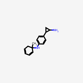 [CH2]C1(Nc2ccc(C3CC3N)cc2)C=CC=CC1